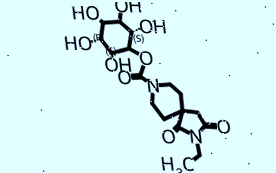 CCN1C(=O)CC2(CCN(C(=O)OC3[C@@H](O)C(O)C(O)[C@@H](O)[C@@H]3O)CC2)C1=O